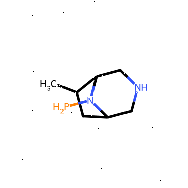 CC1CC2CNCC1N2P